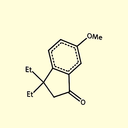 CCC1(CC)CC(=O)c2cc(OC)ccc21